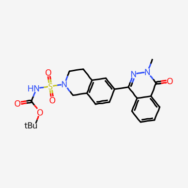 Cn1nc(-c2ccc3c(c2)CCN(S(=O)(=O)NC(=O)OC(C)(C)C)C3)c2ccccc2c1=O